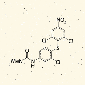 CNC(=O)Nc1ccc(Sc2c(Cl)cc([N+](=O)[O-])cc2Cl)c(Cl)c1